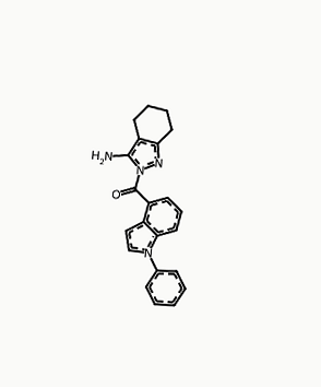 Nc1c2c(nn1C(=O)c1cccc3c1ccn3-c1ccccc1)CCCC2